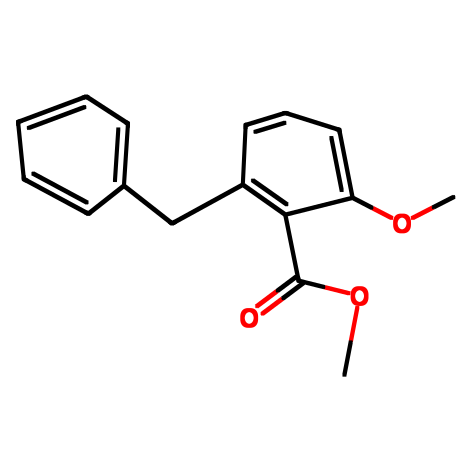 COC(=O)c1c(Cc2ccccc2)cccc1OC